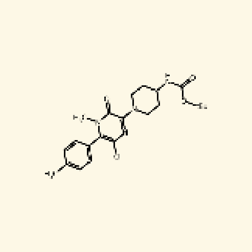 Cc1ccc(-c2c(Cl)nc(N3CCC(NC(=O)OC(C)(C)C)CC3)c(=O)n2C)cc1